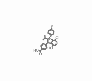 CC(C)c1c(-c2ccc(C(=O)O)cc2)c2c(O)cnc(Cl)c2n1-c1ccc(F)cc1